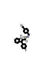 N#Cc1ccc(/C=N\NC(=O)c2[nH]c3ccccc3c2-c2ccc(F)cc2)cc1